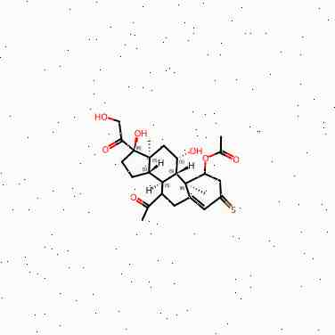 CC(=O)OC1CC(=S)C=C2CC(C(C)=O)[C@@H]3[C@H]([C@@H](O)C[C@@]4(C)[C@H]3CC[C@]4(O)C(=O)CO)[C@]21C